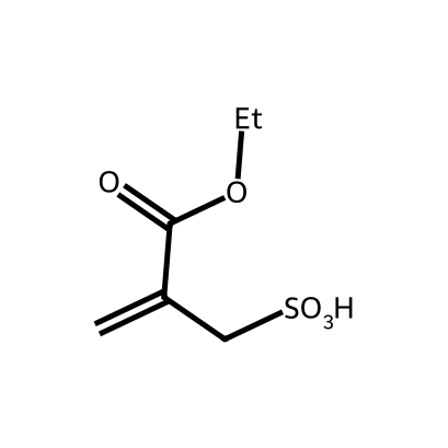 C=C(CS(=O)(=O)O)C(=O)OCC